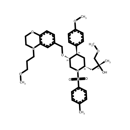 COCCCN1CCOc2ccc(CO[C@H]3CN(S(=O)(=O)c4ccc(C)cc4)[C@@H](C[C@@](C)(O)COC)C[C@@H]3c3ccc(OC)cc3)cc21